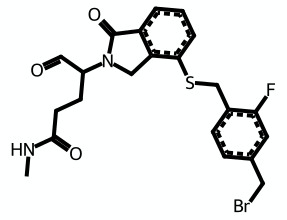 CNC(=O)CCC(C=O)N1Cc2c(SCc3ccc(CBr)cc3F)cccc2C1=O